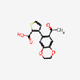 CC(=O)c1cc2c(cc1-c1ccsc1C(=O)O)OCCO2